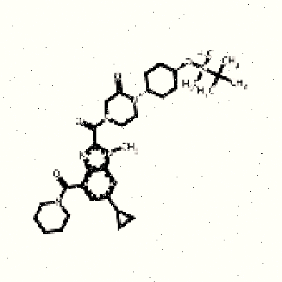 Cn1c(C(=O)N2CCN([C@H]3CC[C@H](O[Si](C)(C)C(C)(C)C)CC3)C(=O)C2)nc2c(C(=O)N3CCCCC3)cc(C3CC3)cc21